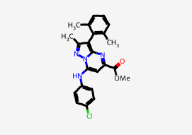 COC(=O)c1cc(Nc2ccc(Cl)cc2)n2nc(C)c(-c3c(C)cccc3C)c2n1